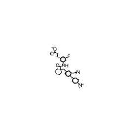 COC(=O)/C=C/c1cc(F)cc(NC(=O)C2(Cc3ccc(-c4ccc(N(C)C)cc4)c(C#N)c3)CCCCC2)c1